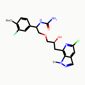 CCn1ncc2cc(Cl)nc(C[C@H](O)COCC(NC(N)=O)c3ccc(OC)c(F)c3)c21